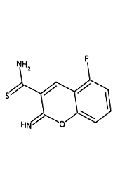 N=c1oc2cccc(F)c2cc1C(N)=S